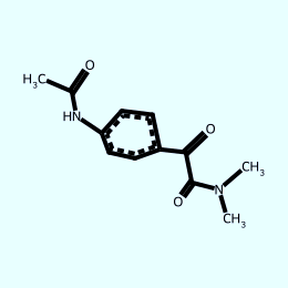 CC(=O)Nc1ccc(C(=O)C(=O)N(C)C)cc1